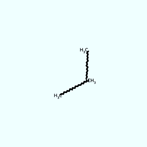 CCCCCCCCCCCCCCCCCCCN(C)CCCCCCCCCCCCCCCCCCC